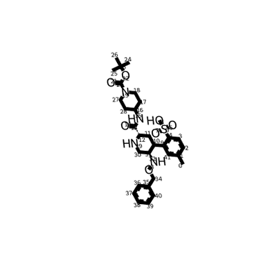 Cc1ccc(S(=O)(=O)O)c(C2C[C@@H](C(=O)NC3CCN(C(=O)OC(C)(C)C)CC3)NC[C@@H]2NOCc2ccccc2)c1